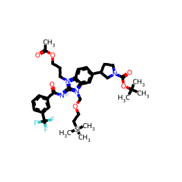 CC(=O)OCCCn1/c(=N\C(=O)c2cccc(C(F)(F)F)c2)n(COCC[Si](C)(C)C)c2cc(C3CCN(C(=O)OC(C)(C)C)C3)ccc21